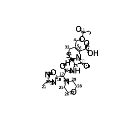 CC(=O)OCC1=C(C(=O)O)N2C(=O)C(NC(=O)C(c3nc(C)no3)N3CCOCC3)[C@H]2SC1